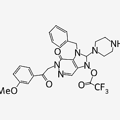 COc1cccc(C(=O)Cn2ncc3c(c2=O)N(Cc2ccccc2)C(N2CCNCC2)N3OC(=O)C(F)(F)F)c1